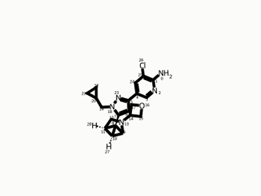 Nc1ncc(-c2cc([C@@]34C5[C@H]3[C@H]4CN5C3COC3)n(CC3CC3)n2)cc1Cl